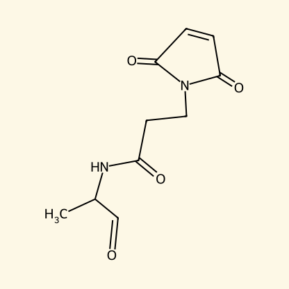 CC(C=O)NC(=O)CCN1C(=O)C=CC1=O